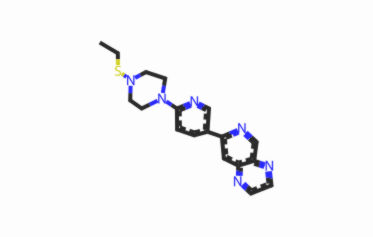 CCSN1CCN(c2ccc(-c3cc4nccnc4cn3)cn2)CC1